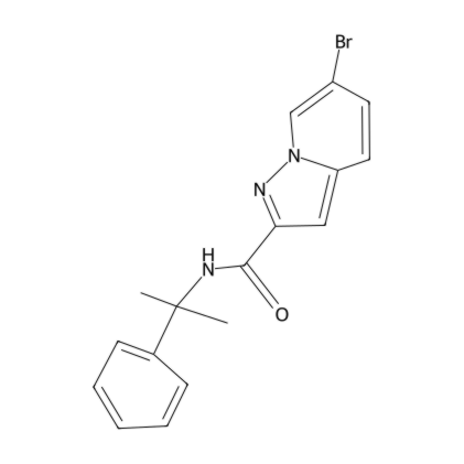 CC(C)(NC(=O)c1cc2ccc(Br)cn2n1)c1ccccc1